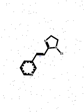 CCN1CCN=C1/C=C/c1cccnc1